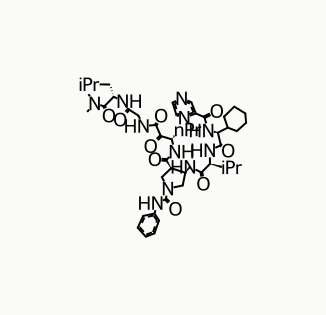 CCC[C@H](NC(=O)[C@@H]1CN(C(=O)Nc2ccccc2)C[C@@H]1NC(=O)[C@@H](NC(=O)[C@@H](NC(=O)c1cnccn1)C1CCCCC1)C(C)C)C(=O)C(=O)NCC(=O)N[C@@H](CC(C)C)C(=O)N(C)C